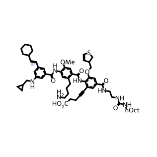 CCCCCCCCNC(=O)NCCNC(=O)c1cc(C#CCCC(=O)O)c(NC(=O)c2cc(OC)c(NC(=O)c3cc(/C=C/C4CCCCC4)cc(NCC4CC4)c3)cc2CCCCN)c(OCC2C=CSC2)c1